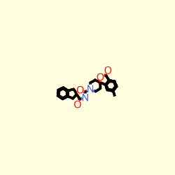 Cc1ccc2c(c1)C1(CCN(C3=NC(=O)C4(Cc5ccccc5C4)O3)CC1)OC2=O